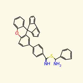 N=C(SC(N)c1ccccc1)c1ccc(-c2ccc3c(c2)C2(c4ccccc4O3)c3ccccc3-c3ccccc32)cc1